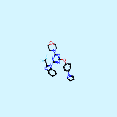 FC(F)c1nc2ccccc2n1-c1nc(Oc2ccc(-n3cccc3)cc2)nc(N2CCOCC2)n1